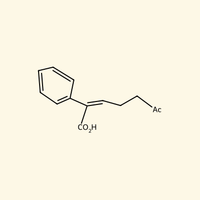 CC(=O)CCC=C(C(=O)O)c1ccccc1